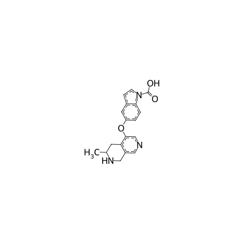 CC1Cc2c(cncc2Oc2ccc3c(ccn3C(=O)O)c2)CN1